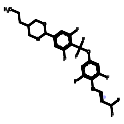 CCCC1COC(c2cc(F)c(C(F)(F)Oc3cc(F)c(O/C=C/C(F)F)c(F)c3)c(F)c2)OC1